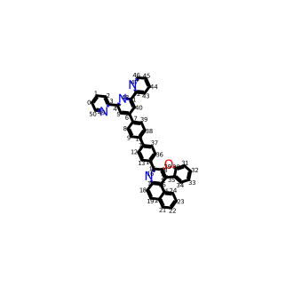 c1ccc(-c2cc(-c3ccc(-c4ccc(-c5nc6ccc7ccccc7c6c6c5oc5ccccc56)cc4)cc3)cc(-c3ccccn3)n2)nc1